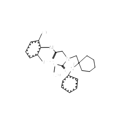 CC(C)c1cccc(C(C)C)c1NC(=O)CN(CC1(Nc2ccccc2)CCCCC1)C(=O)OC(C)(C)C